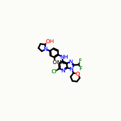 COc1cc(N2CCCC2O)ccc1Nc1cc(Cl)nc2c1nc(C(F)F)n2C1CCCCO1